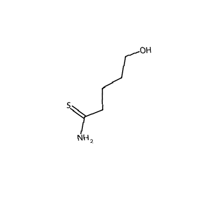 NC(=S)CCCCO